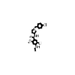 CCNc1cc(OC)c(C(=O)NC2CCN(Cc3ccc(Cl)cc3)C2)cc1Cl